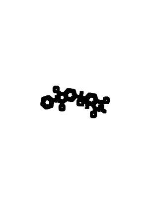 CN1C(=O)c2ccc(C(C)(c3ccc4c(c3)C(=O)N(c3ccccc3)C4=O)C(F)(F)F)cc2C1=O